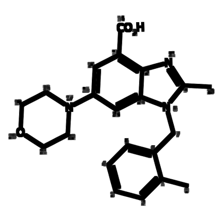 Cc1ccccc1Cn1c(C)nc2c(C(=O)O)cc(N3CCOCC3)cc21